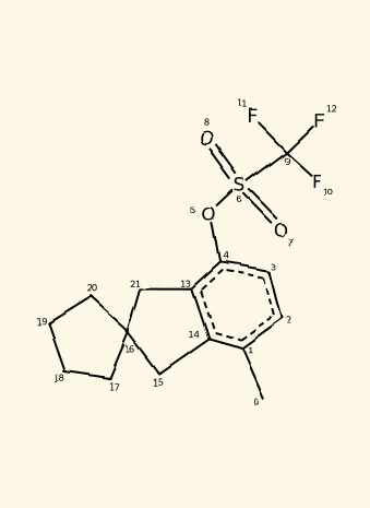 Cc1ccc(OS(=O)(=O)C(F)(F)F)c2c1CC1(CCCC1)C2